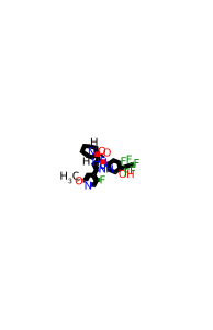 COc1cc(-c2cc(C(=O)N3[C@@H]4CC[C@H]3C[C@H](C(=O)NC3CCC(O)(C(F)(F)C(F)(F)F)CC3)C4)n[nH]2)c(F)cn1